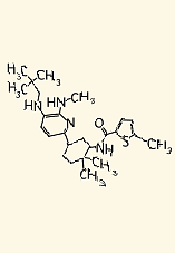 CNc1nc(C2CCC(C)(C)C(NC(=O)c3ccc(C)s3)C2)ccc1NCC(C)(C)C